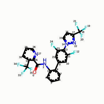 O=C(Nc1ccccc1-c1cc(F)c(-n2ccc(C(F)(F)F)n2)c(F)c1)c1ncccc1C(F)(F)F